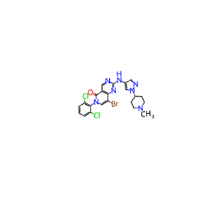 CN1CCC(n2cc(Nc3ncc4c(=O)n(-c5c(Cl)cccc5Cl)cc(Br)c4n3)cn2)CC1